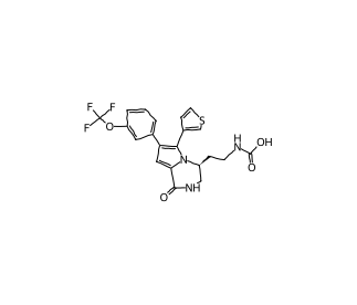 O=C(O)NCC[C@H]1CNC(=O)c2cc(-c3cccc(OC(F)(F)F)c3)c(-c3ccsc3)n21